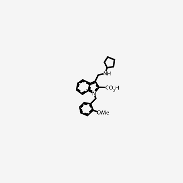 COc1ccccc1Cn1c(C(=O)O)c(CNC2CCCC2)c2ccccc21